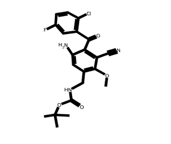 COc1c(CNC(=O)OC(C)(C)C)cc(N)c(C(=O)c2cc(F)ccc2Cl)c1C#N